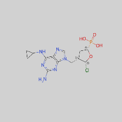 Nc1nc(NC2CC2)c2ncn(C[C@@H]3C[C@H](P(=O)(O)O)O[C@@H]3Cl)c2n1